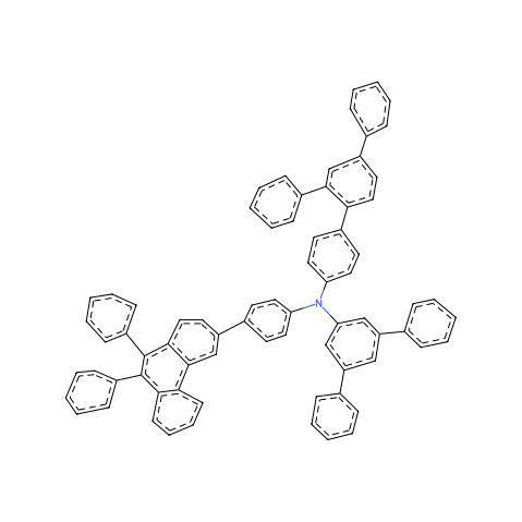 c1ccc(-c2cc(-c3ccccc3)cc(N(c3ccc(-c4ccc5c(-c6ccccc6)c(-c6ccccc6)c6ccccc6c5c4)cc3)c3ccc(-c4ccc(-c5ccccc5)cc4-c4ccccc4)cc3)c2)cc1